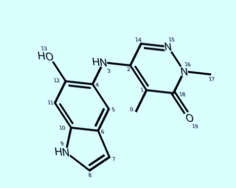 Cc1c(Nc2cc3cc[nH]c3cc2O)cnn(C)c1=O